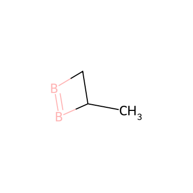 CC1B=BC1